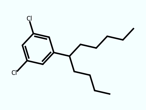 CCCCCC(CCCC)c1cc(Cl)cc(Cl)c1